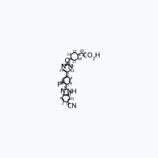 N#Cc1ccc2nc(-c3ccc(-c4cnc(OC5CCC(CC(=O)O)CC5)nc4)cc3F)[nH]c2c1